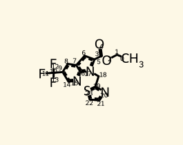 CCOC(=O)c1cc2cc(C(F)(F)F)cnc2n1Cc1nccs1